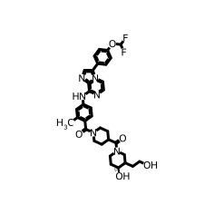 Cc1cc(Nc2nccn3c(-c4ccc(OC(F)F)cc4)cnc23)ccc1C(=O)N1CCC(C(=O)N2CC[C@H](O)C(CCO)C2)CC1